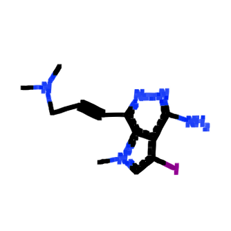 CN(C)CC#Cc1nnc(N)c2c(I)cn(C)c12